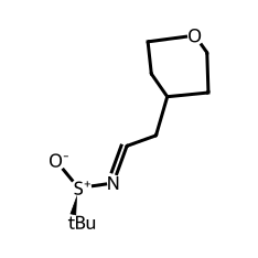 CC(C)(C)[S@@+]([O-])N=CCC1CCOCC1